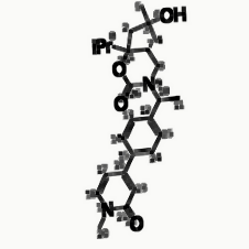 CC(C)C1(CC(C)(C)O)CCN([C@@H](C)c2ccc(-c3ccn(C)c(=O)c3)cc2)C(=O)O1